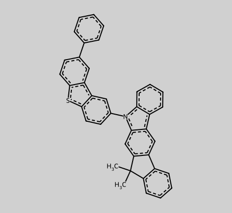 CC1(C)c2ccccc2-c2cc3c4ccccc4n(-c4ccc5sc6ccc(-c7ccccc7)cc6c5c4)c3cc21